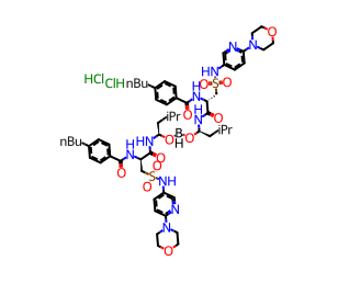 CCCCc1ccc(C(=O)N[C@H](CS(=O)(=O)Nc2ccc(N3CCOCC3)nc2)C(=O)N[C@@H](CC(C)C)OBO[C@H](CC(C)C)NC(=O)[C@@H](CS(=O)(=O)Nc2ccc(N3CCOCC3)nc2)NC(=O)c2ccc(CCCC)cc2)cc1.Cl.Cl